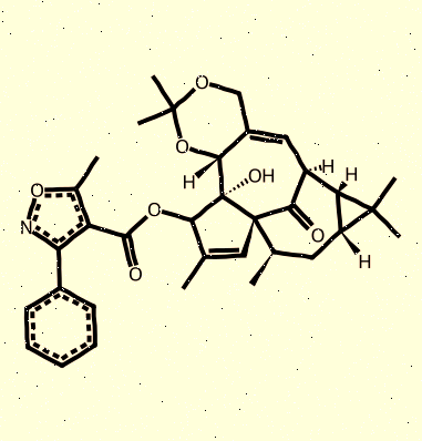 CC1=C[C@]23C(=O)[C@@H](C=C4COC(C)(C)O[C@H]4[C@]2(O)C1OC(=O)c1c(-c2ccccc2)noc1C)[C@H]1[C@@H](C[C@H]3C)C1(C)C